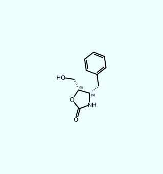 O=C1N[C@@H](Cc2ccccc2)[C@@H](CO)O1